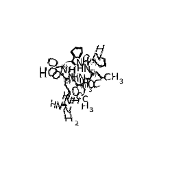 CC(C)C[C@H](NC(=O)[C@@H]1CCCN1)C(=O)N[C@@H](CC(C)C)C(=O)N[C@@H](CCCNC(=N)N)C(=O)N[C@@H](Cc1c[nH]c2ccccc12)C(=O)O